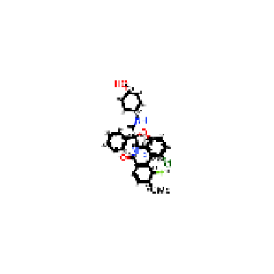 COC1C=CC(C(N)=O)=C(c2c(Cl)ccc3c2C[C@@](CN[C@H]2CC[C@@H](O)CC2)(c2ccccc2)O3)C1F